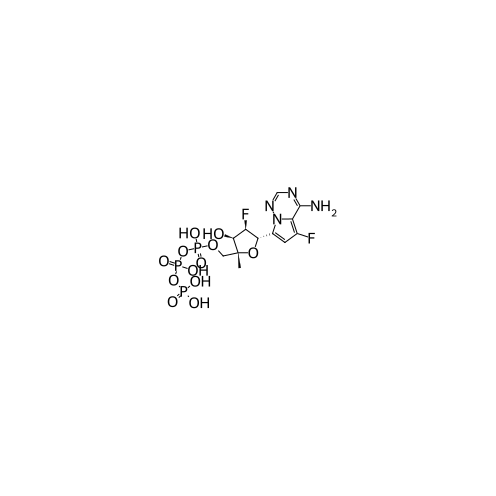 C[C@]1(COP(=O)(O)OP(=O)(O)OP(=O)(O)O)O[C@@H](c2cc(F)c3c(N)ncnn23)[C@H](F)[C@@H]1O